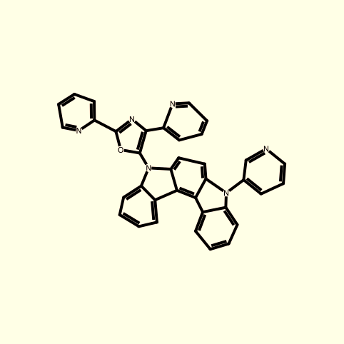 c1ccc(-c2nc(-c3ccccn3)c(-n3c4ccccc4c4c5c6ccccc6n(-c6cccnc6)c5ccc43)o2)nc1